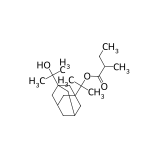 CCC(C)C(=O)OC(C)(C)C12CC3CC(CC(C(C)(C)O)(C3)C1)C2